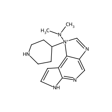 CN(C)[N+]1(C2CCNCC2)C=Nc2cnc3[nH]ccc3c21